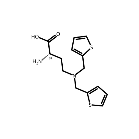 N[C@@H](CCN(Cc1cccs1)Cc1cccs1)C(=O)O